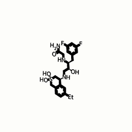 CCc1ccc2c(c1)[C@@H](NC[C@@H](O)[C@H](Cc1cc(F)cc(F)c1)NCC(N)=O)CS(O)(O)C2